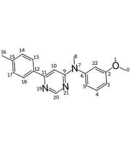 COc1cccc(N(C)c2cc(-c3ccc(C)cc3)ncn2)c1